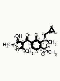 Cc1nn(C)c(O)c1C(=O)c1ccc(S(C)(=O)=O)c(N(C)CC2CC2)c1Cl